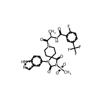 C[C@@H](NC(=O)c1cc(C(F)(F)F)ccc1F)C(=O)N1CCC2(CC1)C(=O)N(S(C)(=O)=O)C(=O)N2c1ccc2[nH]ncc2c1